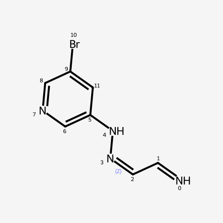 N=C/C=N\Nc1cncc(Br)c1